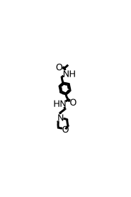 CC(=O)NCc1ccc(C(=O)NCCN2CCOCC2)cc1